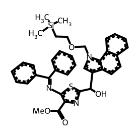 COC(=O)c1nc(C(O)c2cn(COCC[Si](C)(C)C)c3c2ccc2ccccc23)sc1N=C(c1ccccc1)c1ccccc1